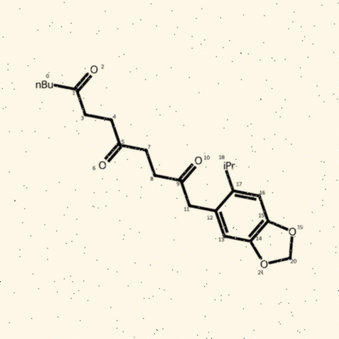 CCCCC(=O)CCC(=O)CCC(=O)Cc1cc2c(cc1C(C)C)OCO2